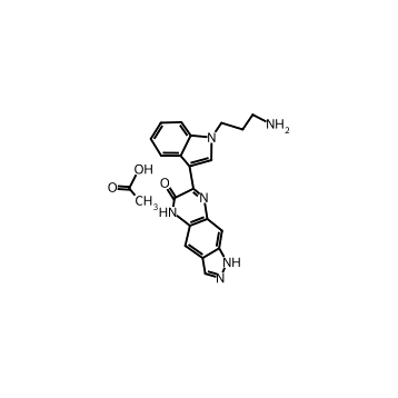 CC(=O)O.NCCCn1cc(-c2nc3cc4[nH]ncc4cc3[nH]c2=O)c2ccccc21